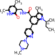 CC[C@H](C)n1cc(C)c2c(C(=O)NCc3c(C)cc(C)[nH]c3=O)cc(-c3ccc(N4CCN(C)CC4)nc3)cc21